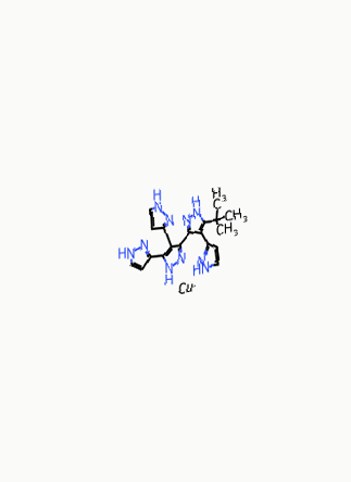 CC(C)(C)c1[nH]nc(-c2n[nH]c(-c3cc[nH]n3)c2-c2cc[nH]n2)c1-c1cc[nH]n1.[Cu]